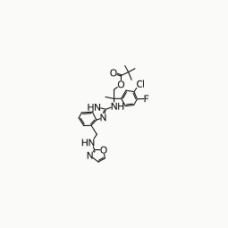 CC(C)(C)C(=O)OCC(C)(Nc1nc2c(CNc3ncco3)cccc2[nH]1)c1ccc(F)c(Cl)c1